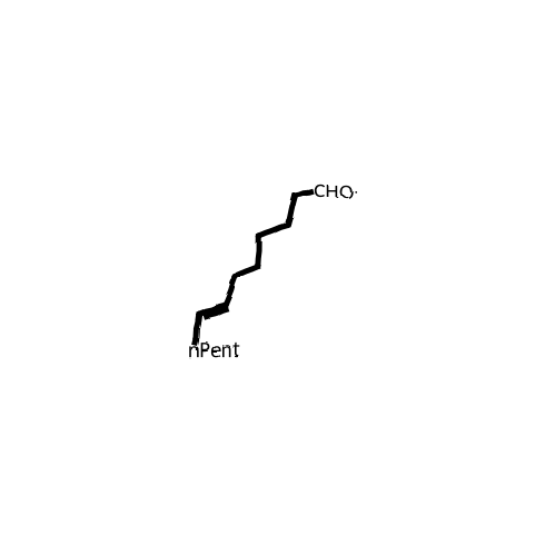 CCCCCC=CCCCCC[C]=O